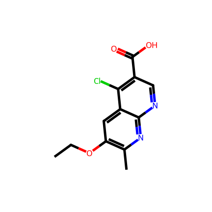 CCOc1cc2c(Cl)c(C(=O)O)cnc2nc1C